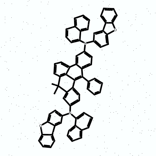 CC1(C)c2cc(N(c3ccc4oc5ccccc5c4c3)c3cccc4ccccc34)ccc2-c2c(-c3ccccc3)c3ccc(N(c4ccc5oc6ccccc6c5c4)c4cccc5ccccc45)cc3c3cccc1c23